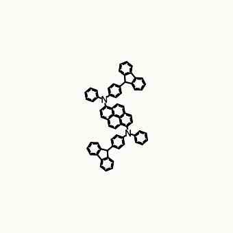 c1ccc(N(c2ccc(C3c4ccccc4-c4ccccc43)cc2)c2ccc3ccc4c(N(c5ccccc5)c5ccc(C6c7ccccc7-c7ccccc76)cc5)ccc5ccc2c3c54)cc1